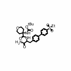 CCS(=O)(=O)c1ccc(-c2ccc(CC(NC(=O)C3(NC(=O)OC(C)(C)C)CCOCC3)C(N)=O)cc2)cc1